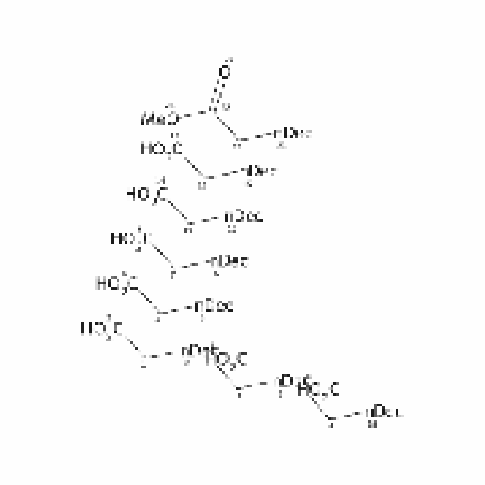 CCCCCCCCCCCC(=O)O.CCCCCCCCCCCC(=O)O.CCCCCCCCCCCC(=O)O.CCCCCCCCCCCC(=O)O.CCCCCCCCCCCC(=O)O.CCCCCCCCCCCC(=O)O.CCCCCCCCCCCC(=O)O.CCCCCCCCCCCC(=O)OC